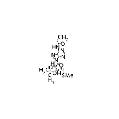 C=CC(=O)Nc1ncnc2c1ncn2[C@@H]1O[C@H](CSC)[C@H]2OC(C)(C)O[C@H]21